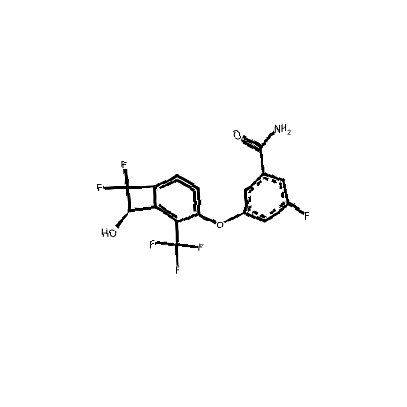 NC(=O)c1cc(F)cc(OC2=C=C=C3C(=C2C(F)(F)F)[C@@H](O)C3(F)F)c1